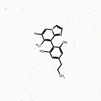 CCCc1cc(O)c(-c2c(C)c(F)cn3ccnc23)c(O)c1